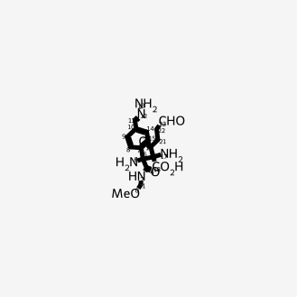 COCNC(=O)C(N)(c1ccc(C=NN)cc1)C(N)(C(=O)O)C(=O)CCC=O